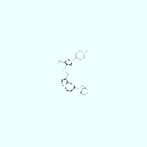 CC(C)N1CCC(n2cc(NCc3cnn4ccc(N5C[C@H]6C[C@@H]5CO6)nc34)c(C(F)F)n2)CC1